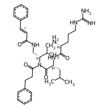 CC(C)C[C@@H](NC(=O)[C@H](N)CCCNC(=N)N)C(=O)N(C(=O)CCc1ccccc1)[C@H](CNC(=O)/C=C/c1ccccc1)C(C)C